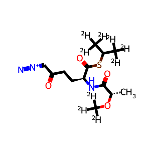 [2H]C([2H])([2H])O[C@@H](C)C(=O)N[C@@H](CCC(=O)C=[N+]=[N-])C(=O)SC(C([2H])([2H])[2H])C([2H])([2H])[2H]